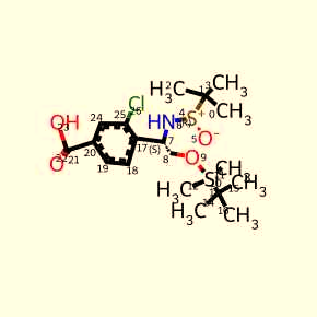 CC(C)(C)[S@+]([O-])N[C@H](CO[Si](C)(C)C(C)(C)C)c1ccc(C(=O)O)cc1Cl